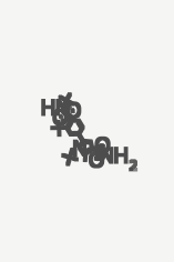 Cc1c(S(N)(=O)=O)cc(-c2ccc(S(=O)(=O)NC(C)(C)C)c(C(C)(C)C)c2)n1CC(C)(C)C